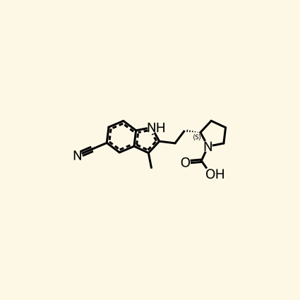 Cc1c(CC[C@@H]2CCCN2C(=O)O)[nH]c2ccc(C#N)cc12